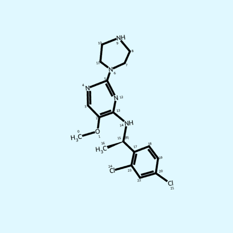 COc1cnc(N2CCNCC2)nc1N[C@H](C)c1ccc(Cl)cc1Cl